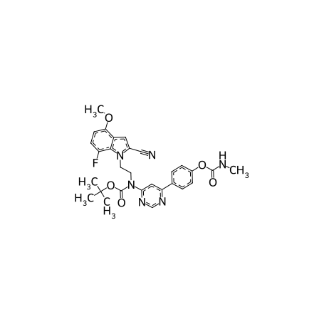 CNC(=O)Oc1ccc(-c2cc(N(CCn3c(C#N)cc4c(OC)ccc(F)c43)C(=O)OC(C)(C)C)ncn2)cc1